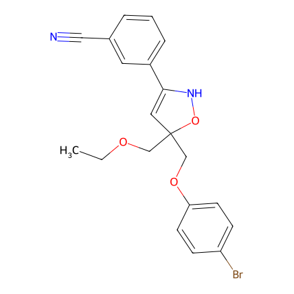 CCOCC1(COc2ccc(Br)cc2)C=C(c2cccc(C#N)c2)NO1